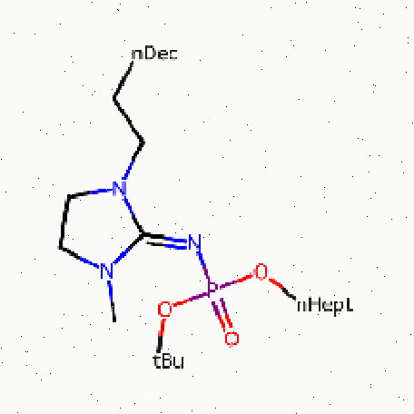 CCCCCCCCCCCCN1CCN(C)C1=NP(=O)(OCCCCCCC)OC(C)(C)C